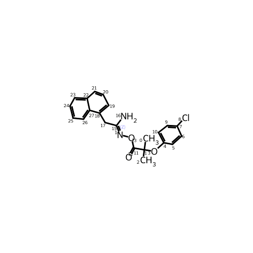 CC(C)(Oc1ccc(Cl)cc1)C(=O)O/N=C(\N)Cc1cccc2ccccc12